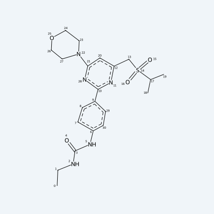 CCNC(=O)Nc1ccc(-c2nc(CS(=O)(=O)C(C)C)cc(N3CCOCC3)n2)cc1